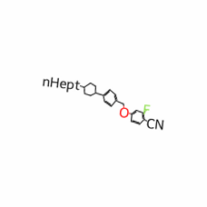 CCCCCCCC1CCC(c2ccc(COc3ccc(C#N)c(F)c3)cc2)CC1